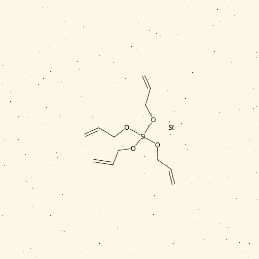 C=CCO[Si](OCC=C)(OCC=C)OCC=C.[Si]